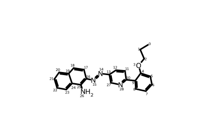 CCCOc1ccccc1-c1ccc(N=Nc2ccc3ccccc3c2N)cn1